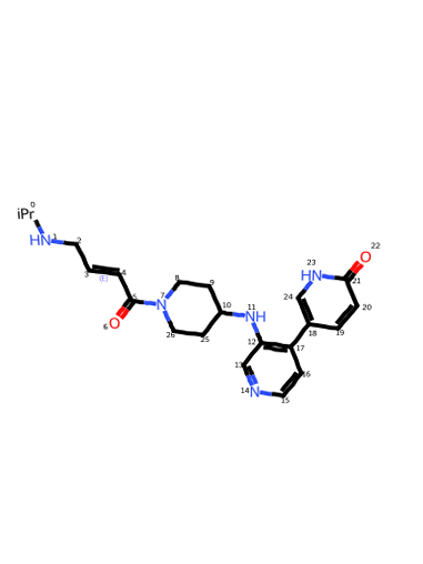 CC(C)NC/C=C/C(=O)N1CCC(Nc2cnccc2-c2ccc(=O)[nH]c2)CC1